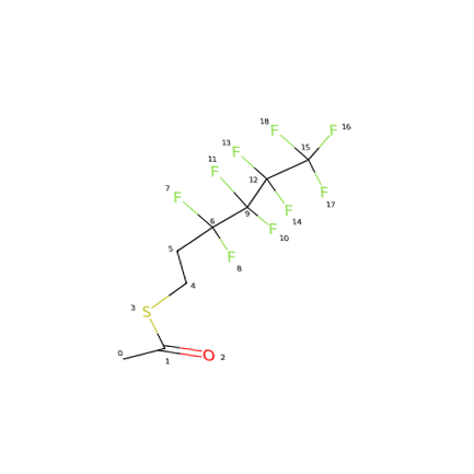 CC(=O)SCCC(F)(F)C(F)(F)C(F)(F)C(F)(F)F